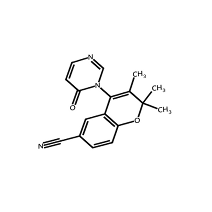 CC1=C(n2cnccc2=O)c2cc(C#N)ccc2OC1(C)C